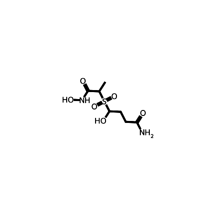 CC(C(=O)NO)S(=O)(=O)C(O)CCC(N)=O